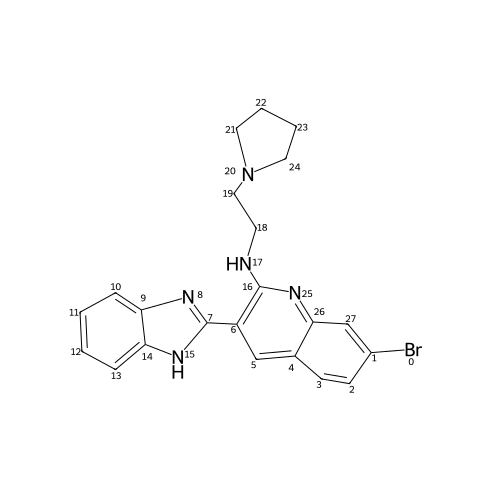 Brc1ccc2cc(-c3nc4ccccc4[nH]3)c(NCCN3CCCC3)nc2c1